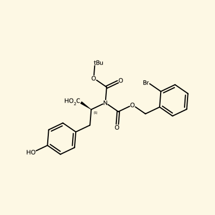 CC(C)(C)OC(=O)N(C(=O)OCc1ccccc1Br)[C@@H](Cc1ccc(O)cc1)C(=O)O